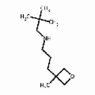 CC(C)(C)CNCCCC1(C)COC1